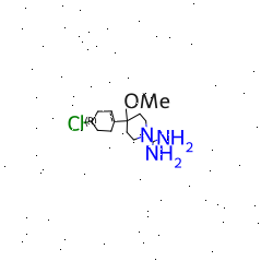 COCC1(C2=CC[C@H](Cl)CC2)CCN(C(N)N)CC1